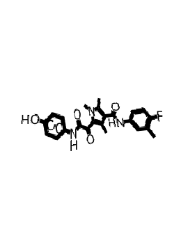 Cc1cc(NC(=O)c2c(C)c(C(=O)C(=O)NC34CCC(O)(CC3)CC4)n(C)c2C)ccc1F